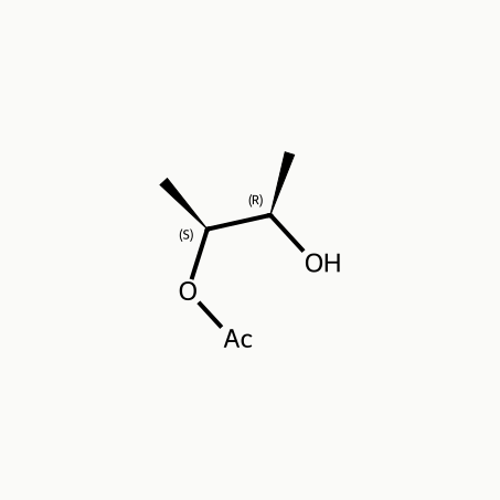 CC(=O)O[C@@H](C)[C@@H](C)O